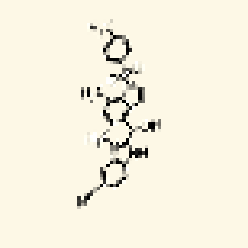 Cc1ccc(S(=O)(=O)n2ccc3c(C(O)c4nc5cc(C#N)ccc5[nH]4)c(C)cc(C)c32)cc1